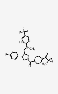 CN(CC1CN(C(=O)C2CCN(C(=O)C3(C)CC3)CC2)C[C@@H]1c1ccc(F)cc1)C1N=CC(C(F)(F)F)=CN1